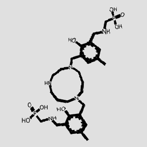 Cc1cc(CNCP(=O)(O)O)c(O)c(CN2CCCNCCN(Cc3cc(C)cc(CNCP(=O)(O)O)c3O)CCC2)c1